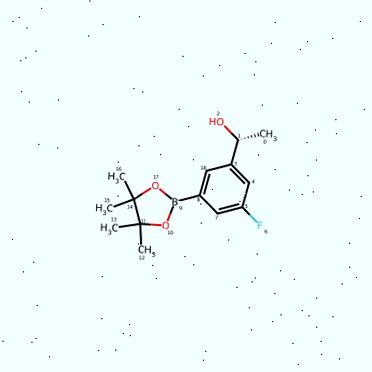 C[C@@H](O)c1cc(F)cc(B2OC(C)(C)C(C)(C)O2)c1